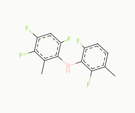 Cc1ccc(F)c(Bc2c(F)cc(F)c(F)c2C)c1F